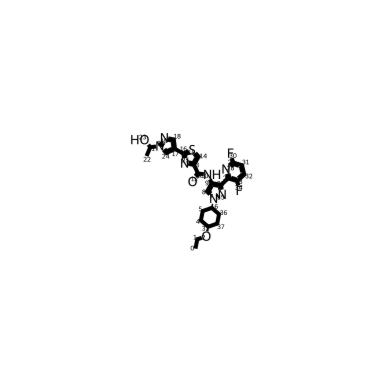 CCO[C@H]1CC[C@H](n2cc(NC(=O)c3csc(-c4cnn(C(C)O)c4)n3)c(-c3nc(F)ccc3F)n2)CC1